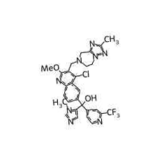 COc1nc2ccc(C(O)(c3ccnc(C(F)(F)F)c3)c3cncn3C)cc2c(Cl)c1CN1CCn2nc(C)nc2C1